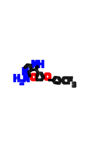 NC(=O)c1nccc2[nH]cc(-c3cccc(OCc4ccc(C(F)(F)F)cc4)c3)c12